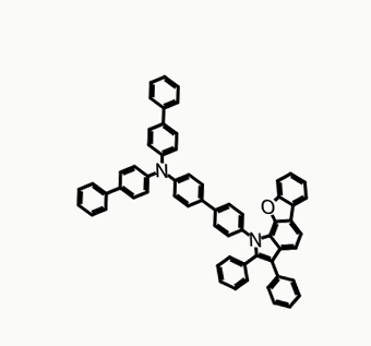 c1ccc(-c2ccc(N(c3ccc(-c4ccccc4)cc3)c3ccc(-c4ccc(-n5c(-c6ccccc6)c(-c6ccccc6)c6ccc7c8ccccc8oc7c65)cc4)cc3)cc2)cc1